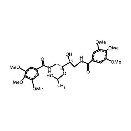 COc1cc(C(=O)NC[C@H](O)[C@@H](CNC(=O)c2cc(OC)c(OC)c(OC)c2)OC(C)O)cc(OC)c1OC